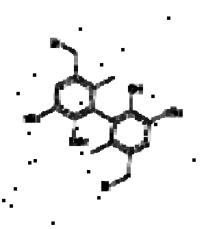 CCCCc1cc(CBr)c(C)c(-c2c(C)c(CBr)cc(CCCC)c2OC(C)=O)c1O